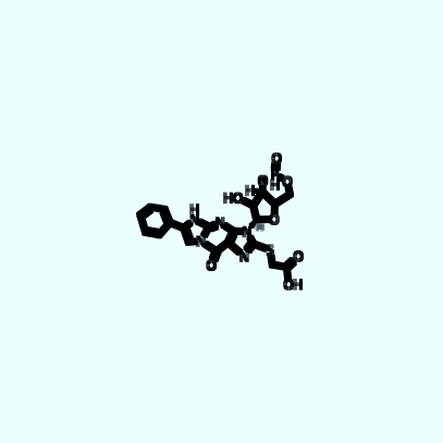 O=C(O)CSc1nc2c(=O)n3cc(-c4ccccc4)[nH]c3nc2n1[C@@H]1OC2CO[PH](=O)O[C@H]2C1O